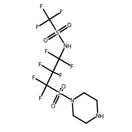 O=S(=O)(NC(F)(F)C(F)(F)C(F)(F)S(=O)(=O)N1CCNCC1)C(F)(F)F